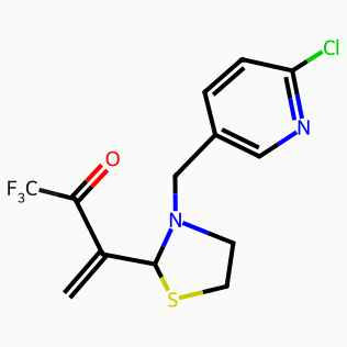 C=C(C(=O)C(F)(F)F)C1SCCN1Cc1ccc(Cl)nc1